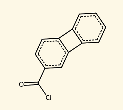 O=C(Cl)c1ccc2c(c1)-c1ccccc1-2